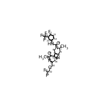 CC1Cc2nn3c(c2CN1C(=O)Nc1ccc(F)c(C(F)(F)F)c1)C(=O)N(C)N=C(COCC(F)F)C3